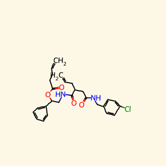 C=CCCC(=O)OC(CNC(=O)C(CC=C)CC(=O)NCc1ccc(Cl)cc1)c1ccccc1